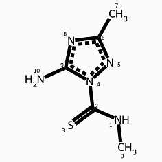 CNC(=S)n1nc(C)nc1N